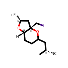 [C-]#[N+][C@H](C)CC1CC[C@@H]2O[C@@H](CCC)C[C@]2(CI)O1